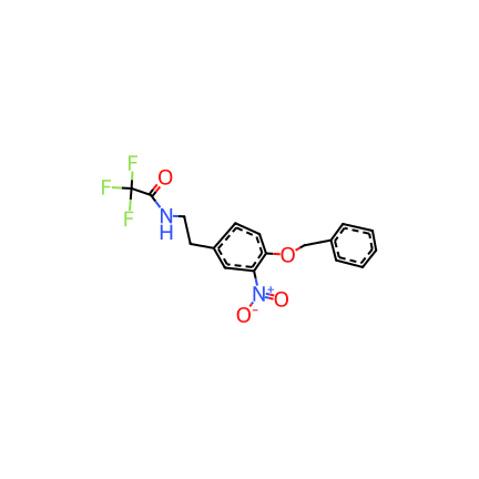 O=C(NCCc1ccc(OCc2ccccc2)c([N+](=O)[O-])c1)C(F)(F)F